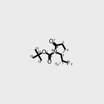 C[C@@H](F)[C@H]1CCC(=O)N1C(=O)OC(C)(C)C